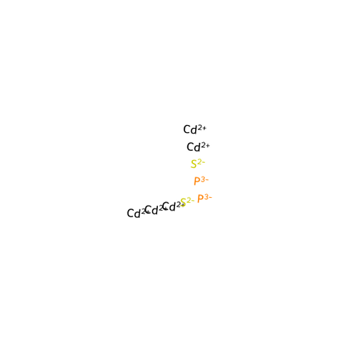 [Cd+2].[Cd+2].[Cd+2].[Cd+2].[Cd+2].[P-3].[P-3].[S-2].[S-2]